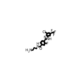 NCCCNC(=O)c1ccc(-c2nc3c(Cl)cc(C(F)(F)F)cc3[nH]2)c(F)c1